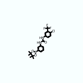 CC1(C)OB(c2cccc(NC(=O)Nc3ccc(Cl)c(C(F)(F)F)c3)c2)OC1(C)C